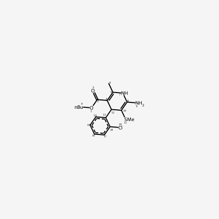 CCCCOC(=O)C1=C(C)NC(N)=C(SC)C1c1ccccc1Cl